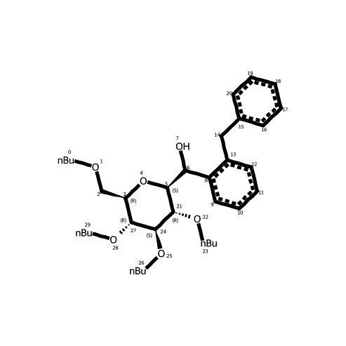 CCCCOC[C@H]1O[C@@H](C(O)c2ccccc2Cc2ccccc2)[C@H](OCCCC)[C@@H](OCCCC)[C@@H]1OCCCC